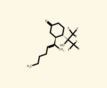 CCCC/C=C(\C)[C@H]1CC(=O)CC[C@@H]1C(O)(C(F)(F)F)C(F)(F)F